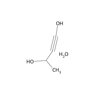 CC(O)C#CO.O